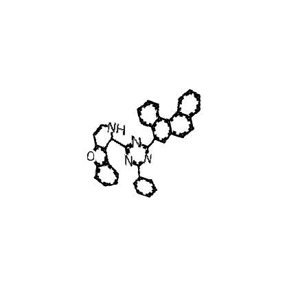 C1=Cc2oc3ccccc3c2C(c2nc(-c3ccccc3)nc(-c3cc4ccc5ccccc5c4c4ccccc34)n2)N1